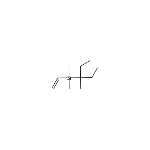 C=C[Si](C)(C)C(C)(CC)CC